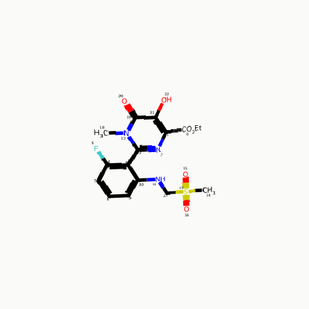 CCOC(=O)c1nc(-c2c(F)cccc2NCS(C)(=O)=O)n(C)c(=O)c1O